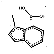 Cn1ccc2ccccc21.OBO